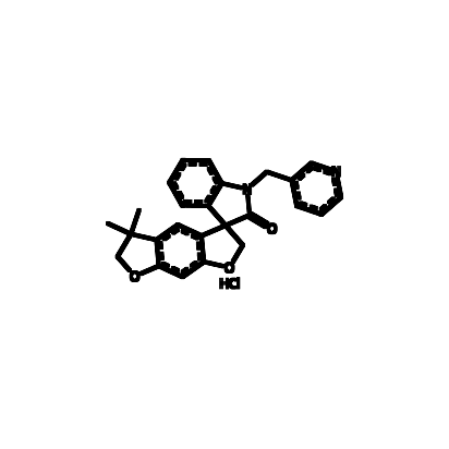 CC1(C)COc2cc3c(cc21)C1(CO3)C(=O)N(Cc2cccnc2)c2ccccc21.Cl